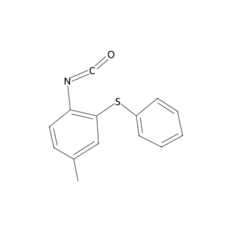 Cc1ccc(N=C=O)c(Sc2ccccc2)c1